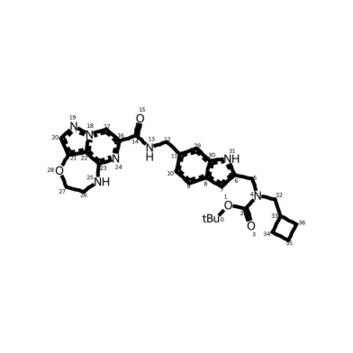 CC(C)(C)OC(=O)N(Cc1cc2ccc(CNC(=O)c3cn4ncc5c4c(n3)NCCO5)cc2[nH]1)CC1CCC1